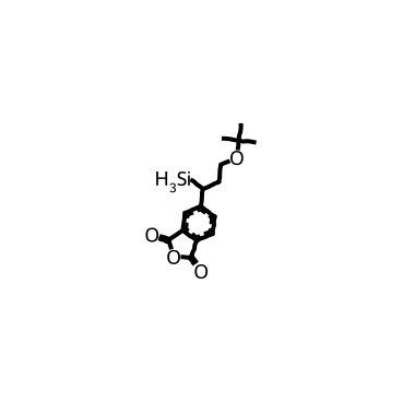 CC(C)(C)OCCC([SiH3])c1ccc2c(c1)C(=O)OC2=O